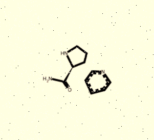 NC(=O)[C@@H]1CCCN1.c1ccncc1